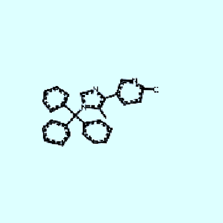 Cc1c(-c2ccc(Cl)nc2)ncn1C(c1ccccc1)(c1ccccc1)c1ccccc1